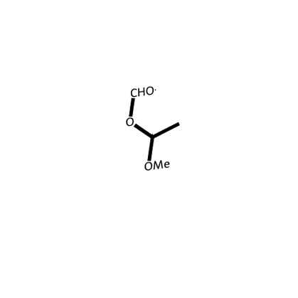 CO[C](C)O[C]=O